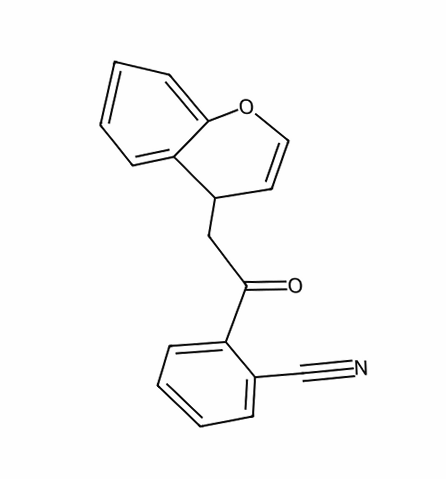 N#Cc1ccccc1C(=O)CC1C=COc2ccccc21